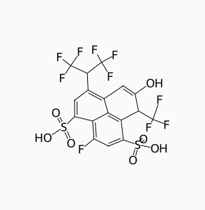 O=S(=O)(O)c1cc(F)c2c(S(=O)(=O)O)cc(C(C(F)(F)F)C(F)(F)F)c3c2c1C(C(F)(F)F)C(O)=C3